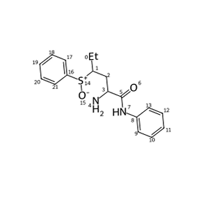 CCC(CC(N)C(=O)Nc1ccccc1)[S+]([O-])c1ccccc1